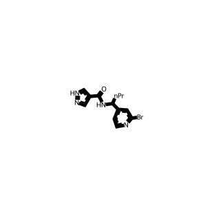 CCCC(NC(=O)c1cn[nH]c1)c1ccnc(Br)c1